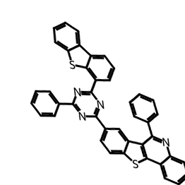 c1ccc(-c2nc(-c3ccc4sc5c6ccccc6nc(-c6ccccc6)c5c4c3)nc(-c3cccc4c3sc3ccccc34)n2)cc1